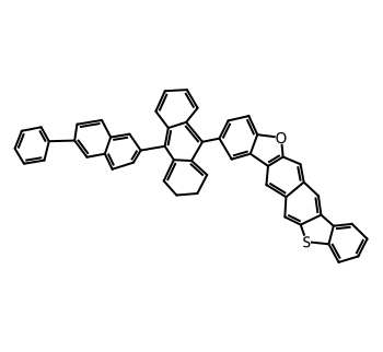 C1=c2c(-c3ccc4cc(-c5ccccc5)ccc4c3)c3ccccc3c(-c3ccc4oc5cc6cc7c(cc6cc5c4c3)sc3ccccc37)c2=CCC1